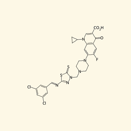 O=C(O)c1cn(C2CC2)c2cc(N3CCN(Cn4nc(N=Cc5cc(Cl)cc(Cl)c5)sc4=S)CC3)c(F)cc2c1=O